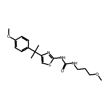 COCCCNC(=O)Nc1nc(C(C)(C)c2ccc(OC)cc2)cs1